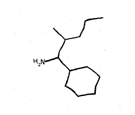 CCCC(C)C(N)C1CCCCC1